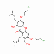 CC(C)=CCc1c(OCCCBr)cc2oc3cc(OCCCBr)c(CO)c(CC=C(C)C)c3c(=O)c2c1O